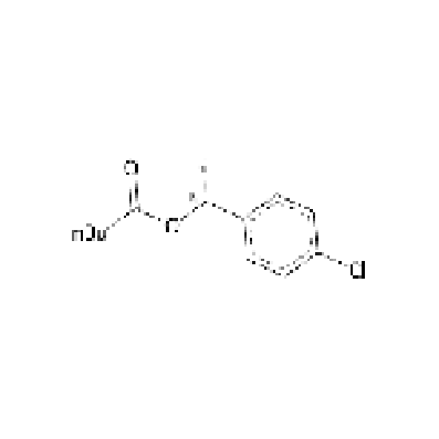 CCCCC(=O)O[C@H](C)c1ccc(Cl)cc1